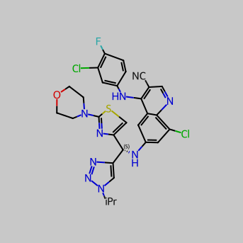 CC(C)n1cc([C@@H](Nc2cc(Cl)c3ncc(C#N)c(Nc4ccc(F)c(Cl)c4)c3c2)c2csc(N3CCOCC3)n2)nn1